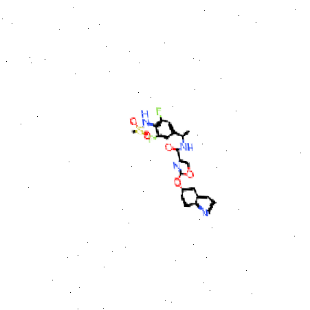 CC(NC(=O)c1coc(Oc2ccc3ncccc3c2)n1)c1cc(F)c(NS(C)(=O)=O)c(F)c1